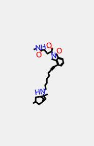 CNC(=O)CCC(C=O)N1Cc2c(C#CCCCCCCNC3(C)CC4CC(C)CC3C4)cccc2C1=O